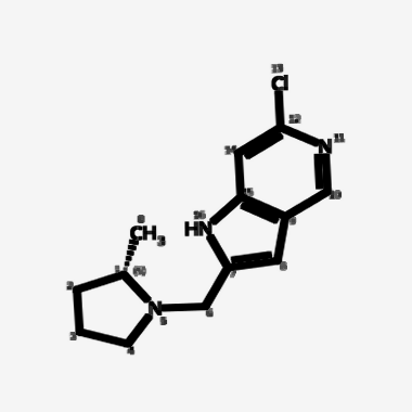 C[C@H]1CCCN1Cc1cc2cnc(Cl)cc2[nH]1